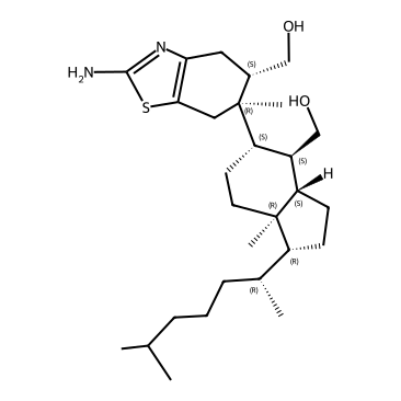 CC(C)CCC[C@@H](C)[C@H]1CC[C@H]2[C@H](CO)[C@@H]([C@@]3(C)Cc4sc(N)nc4C[C@@H]3CO)CC[C@]12C